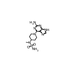 CN(C1CCN(c2nc(N)nc3[nH]cnc23)CC1)S(N)(=O)=O